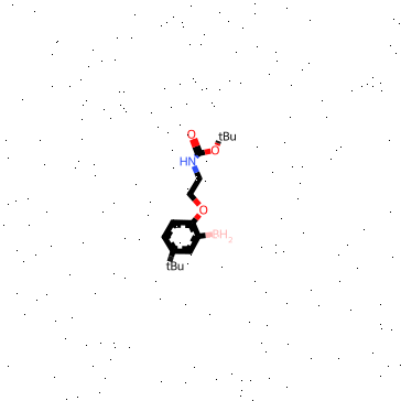 Bc1cc(C(C)(C)C)ccc1OCCNC(=O)OC(C)(C)C